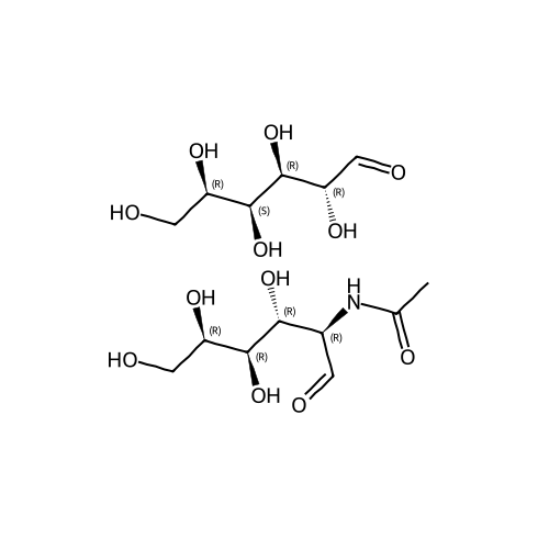 CC(=O)N[C@@H](C=O)[C@@H](O)[C@@H](O)[C@H](O)CO.O=C[C@H](O)[C@H](O)[C@@H](O)[C@H](O)CO